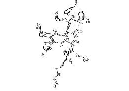 C=CCCCN=C(C#N)/C(=C/c1cc(OC)c(OC)c(OC)c1)c1ccc(OC)c(OC)c1